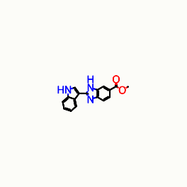 COC(=O)c1ccc2nc(-c3c[nH]c4ccccc34)[nH]c2c1